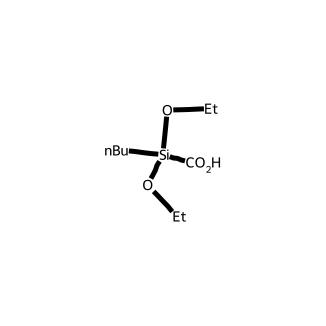 CCCC[Si](OCC)(OCC)C(=O)O